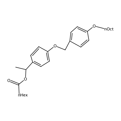 CCCCCCCCOc1ccc(COc2ccc(C(C)OC(=O)CCCCCC)cc2)cc1